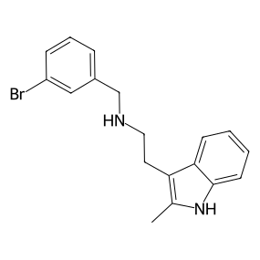 Cc1[nH]c2ccccc2c1CCNCc1cccc(Br)c1